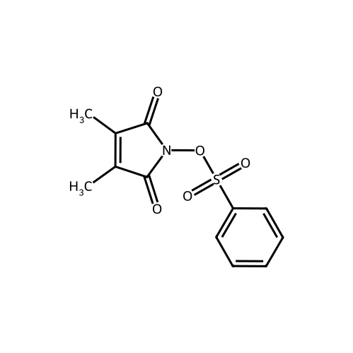 CC1=C(C)C(=O)N(OS(=O)(=O)c2ccccc2)C1=O